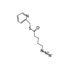 [N-]=[N+]=NCCCCC(=O)SCc1ccccn1